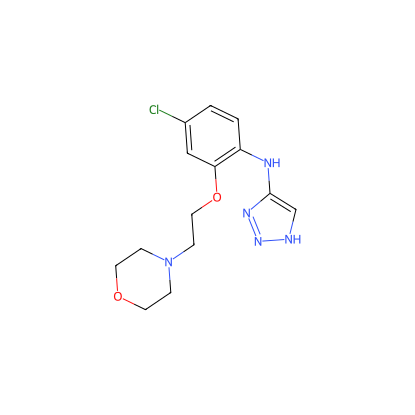 Clc1ccc(Nc2c[nH]nn2)c(OCCN2CCOCC2)c1